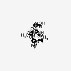 COC(=O)N[C@@H]1C[C@@H](C(=O)N2CCOC(C(=O)O)C2)N(C(=O)c2nc(-c3ccc(OC(F)F)c(OCC4CC4)c3)oc2[C@H](C)N)C1